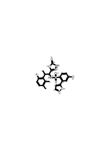 Cc1ccc(F)c(C(C)C(NS(=O)(=O)c2ccc(Cl)cc2-c2ccno2)c2n[nH]c(=O)o2)c1C